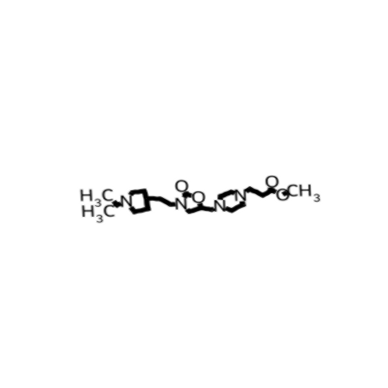 COC(=O)CCN1CCN(CC2CN(CCC3CCN(C(C)C)CC3)C(=O)O2)CC1